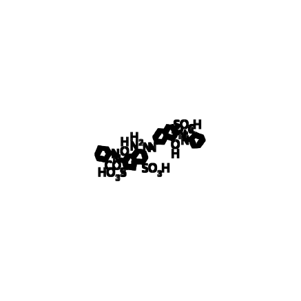 Nc1c(N=Nc2ccc3cc(S(=O)(=O)O)c(N=Nc4ccccc4C(=O)O)c(O)c3c2)cc(S(=O)(=O)O)c2cc(S(=O)(=O)O)c(N=Nc3ccccc3C(=O)O)c(O)c12